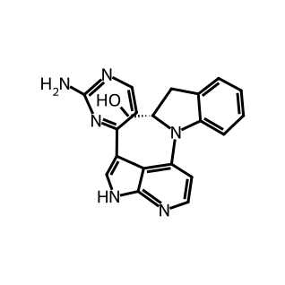 Nc1nccc(-c2c[nH]c3nccc(N4c5ccccc5C[C@H]4CO)c23)n1